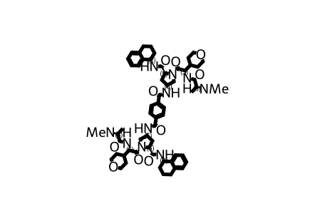 CN[C@@H](C)C(=O)N[C@H](C(=O)N1C[C@@H](NC(=O)c2ccc(C(=O)N[C@H]3C[C@@H](C(=O)N[C@@H]4CCCc5ccccc54)N(C(=O)[C@@H](NC(=O)[C@H](C)NC)C4CCOCC4)C3)cc2)C[C@H]1C(=O)N[C@@H]1CCCc2ccccc21)C1CCOCC1